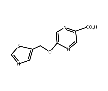 O=C(O)c1cnc(OCc2cncs2)cn1